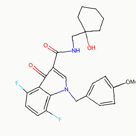 COc1ccc(Cn2cc(C(=O)NCC3(O)CCCCC3)c(=O)c3c(F)ccc(F)c32)cc1